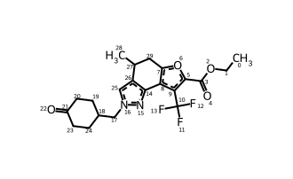 CCOC(=O)c1oc2c(c1C(F)(F)F)-c1nn(CC3CCC(=O)CC3)cc1C(C)C2